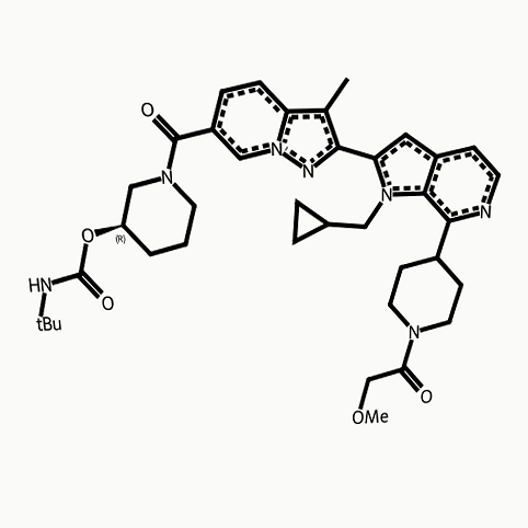 COCC(=O)N1CCC(c2nccc3cc(-c4nn5cc(C(=O)N6CCC[C@@H](OC(=O)NC(C)(C)C)C6)ccc5c4C)n(CC4CC4)c23)CC1